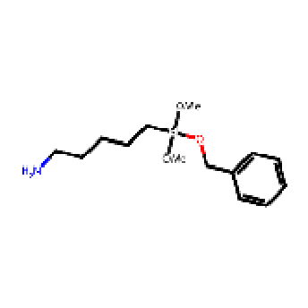 CO[Si](CCCCCN)(OC)OCc1ccccc1